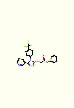 O=C(CSc1nnc(-c2cccnc2)n1-c1ccc(C(F)(F)F)cc1)Nc1ccccc1